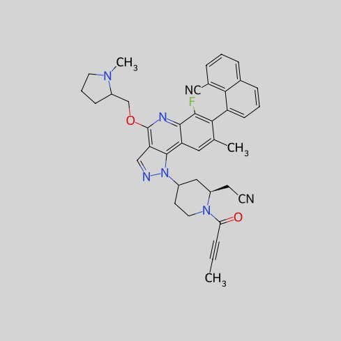 CC#CC(=O)N1CCC(n2ncc3c(OCC4CCCN4C)nc4c(F)c(-c5cccc6cccc(C#N)c56)c(C)cc4c32)C[C@H]1CC#N